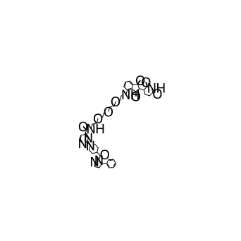 O=C1CCC(C2C(=O)c3cccc(NCCOCCOCCOCCNC(=O)c4ccnc(N5CCC(C(=O)N6N=CCC6c6ccccc6)CC5)n4)c3C2=O)C(=O)N1